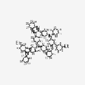 CCc1ccc2c(c1)-c1cc(N(c3ccccc3)c3ccc(-c4nc5ccccc5nc4-c4ccc(N(c5ccccc5)c5ccc6c(c5)c5cc(CC)ccc5n6-c5ccccc5)cc4)cc3)ccc1C2c1ccccc1